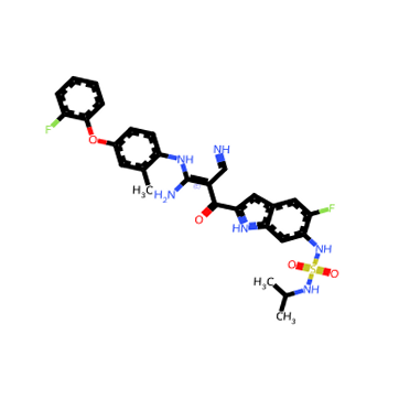 Cc1cc(Oc2ccccc2F)ccc1N/C(N)=C(\C=N)C(=O)c1cc2cc(F)c(NS(=O)(=O)NC(C)C)cc2[nH]1